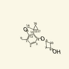 Cc1ccc(O[C@H]2C[C@@H](O)C2)c2c1OCC21CC1